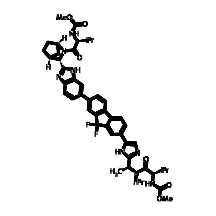 CCCN(C(=O)[C@H](NC(=O)OC)C(C)C)[C@@H](C)c1ncc(-c2ccc3c(c2)C(F)(F)c2cc(-c4ccc5nc([C@@H]6[C@H]7CC[C@H](C7)N6C(=O)[C@@H](NC(=O)OC)C(C)C)[nH]c5c4)ccc2-3)[nH]1